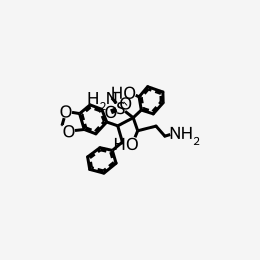 NCCC(O)C(c1ccccc1O)(C(Cc1ccccc1)c1ccc2c(c1)OCO2)S(N)(=O)=O